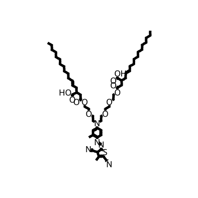 CCCCCCCCCCC/C=C/CC(CC(=O)OCCOCCOCCN(CCOCCOC(=O)CC(C/C=C/CCCCCCCCCCC)C(=O)O)c1ccc(/N=N/C2SC(C#N)=C(C)C2C#N)c(C)c1)C(=O)O